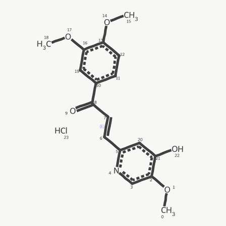 COc1cnc(/C=C/C(=O)c2ccc(OC)c(OC)c2)cc1O.Cl